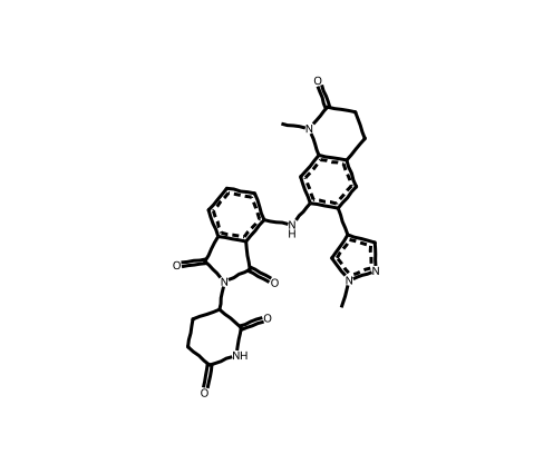 CN1C(=O)CCc2cc(-c3cnn(C)c3)c(Nc3cccc4c3C(=O)N(C3CCC(=O)NC3=O)C4=O)cc21